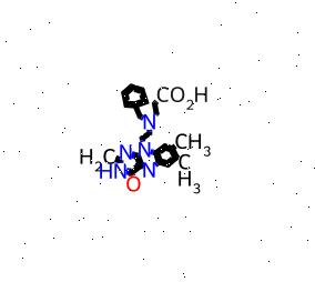 C=c1nc2c(c(=O)[nH]1)=Nc1cc(C)c(C)cc1N2CCN(CCC(=O)O)Cc1ccccc1